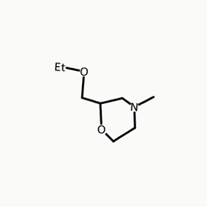 CCOCC1CN(C)CCO1